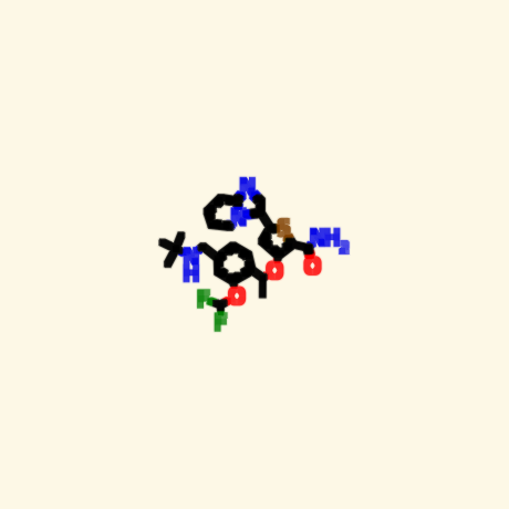 CC(Oc1cc(-c2cnc3ccccn23)sc1C(N)=O)c1ccc(CNC(C)(C)C)cc1OC(F)F